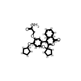 NC(=O)COc1cc(-c2c(C3(O)CCCC3)oc(=O)c3ccccc23)ccc1OC1CCCC1